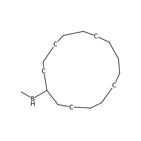 CBC1CCCCCCCCCCCCCC1